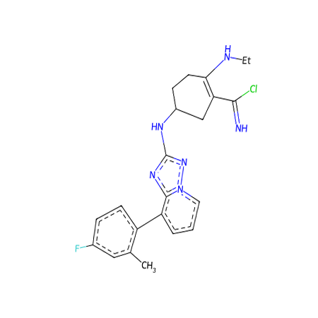 CCNC1=C(C(=N)Cl)CC(Nc2nc3c(-c4ccc(F)cc4C)cccn3n2)CC1